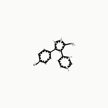 Nc1onc(-c2ccc(Br)cc2)c1-c1ccncn1